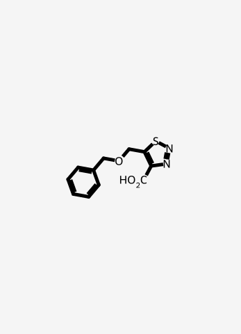 O=C(O)c1nnsc1COCc1ccccc1